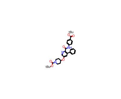 CC(C)(C)OC(=O)c1ccc(NC(=O)c2ncc(OC3CCN(C(=O)OC(C)(C)C)CC3)cc2-c2ccccc2)cc1